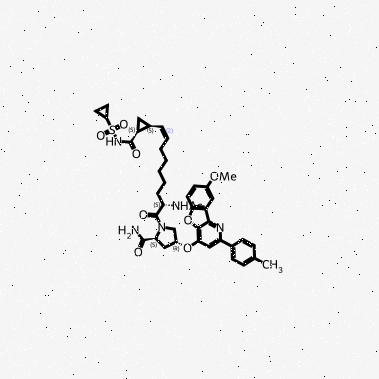 COc1ccc2oc3c(O[C@@H]4C[C@@H](C(N)=O)N(C(=O)[C@H](CCCCC/C=C\[C@@H]5C[C@@H]5C(=O)NS(=O)(=O)C5CC5)NC(C)=O)C4)cc(-c4ccc(C)cc4)nc3c2c1